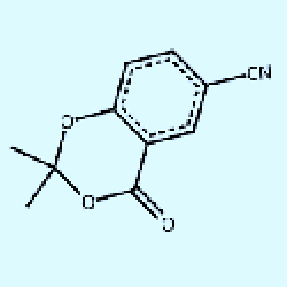 CC1(C)OC(=O)c2cc(C#N)ccc2O1